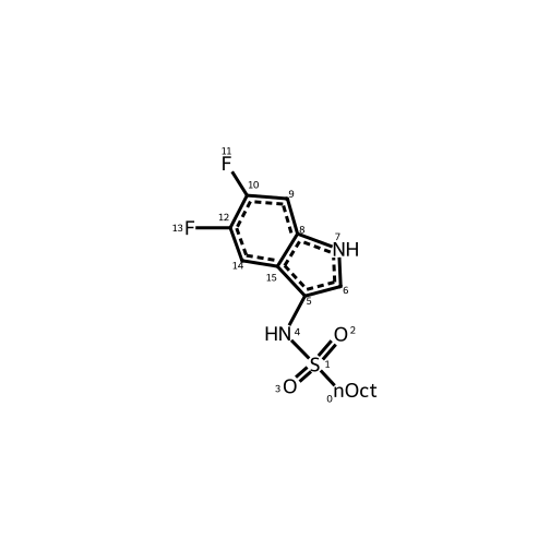 CCCCCCCCS(=O)(=O)Nc1c[nH]c2cc(F)c(F)cc12